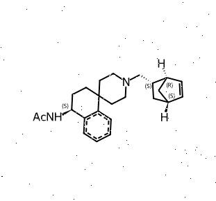 CC(=O)N[C@H]1CCC2(CCN(C[C@H]3C[C@H]4C=C[C@H]3C4)CC2)c2ccccc21